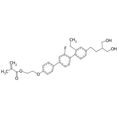 C=C(C)C(=O)OCCOc1ccc(-c2ccc(-c3ccc(CCC(CO)CO)cc3CC)c(F)c2)cc1